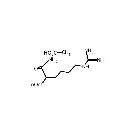 CC(=O)O.CCCCCCCCC(CCCCNC(=N)N)C(N)=O